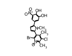 Cc1c(Cl)c(C)[n+]([O-])c(Br)c1-c1ccc(-c2cc(O)c(O)c([N+](=O)[O-])c2)n1C